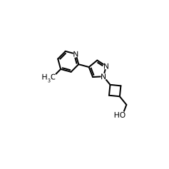 Cc1ccnc(-c2cnn(C3CC(CO)C3)c2)c1